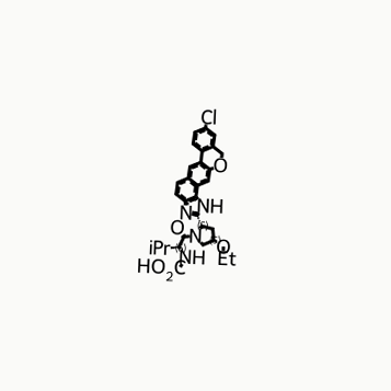 CCO[C@H]1C[C@@H](c2nc3ccc4cc5c(cc4c3[nH]2)OCc2cc(Cl)ccc2-5)N(C(=O)[C@@H](NC(=O)O)C(C)C)C1